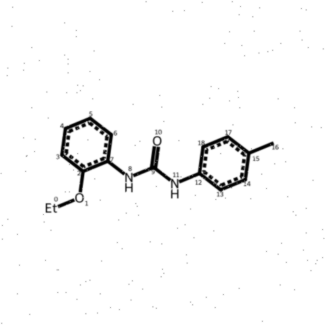 CCOc1ccccc1NC(=O)Nc1ccc(C)cc1